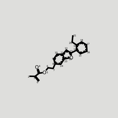 C=C(C)C(=O)OCCc1ccc2cc(-c3ccccc3CC)oc2c1